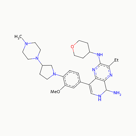 CCc1nc2c(nc1NC1CCOCC1)C(c1ccc(N3CCC(N4CCN(C)CC4)C3)c(OC)c1)=CNC2N